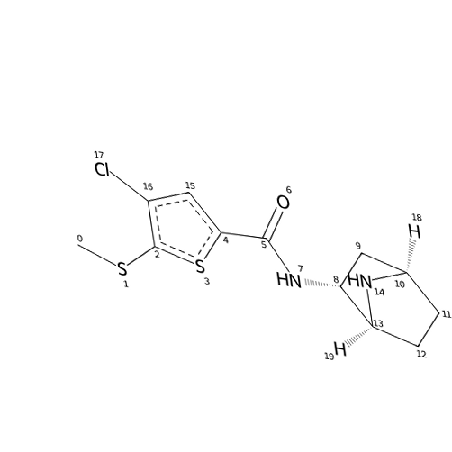 CSc1sc(C(=O)N[C@@H]2C[C@H]3CC[C@@H]2N3)cc1Cl